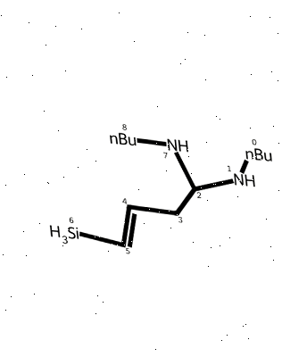 CCCCNC(CC=C[SiH3])NCCCC